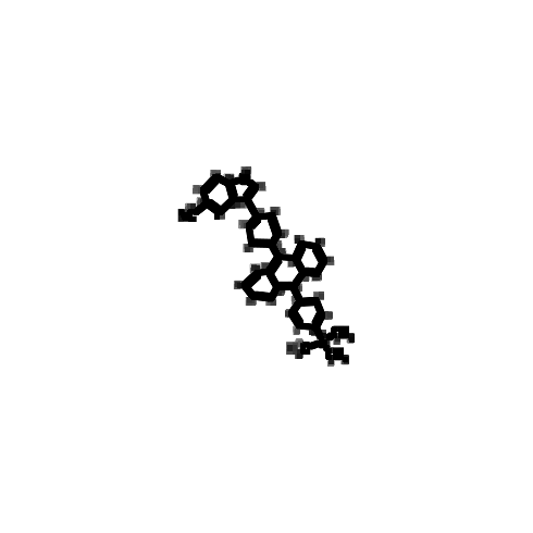 C[Si](C)(C)c1ccc(-c2c3ccccc3c(-c3ccc(-c4coc5ccc(C#N)cc45)cc3)c3ccccc23)cc1